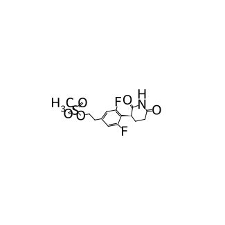 CS(=O)(=O)OCCc1cc(F)c([C@@H]2CCC(=O)NC2=O)c(F)c1